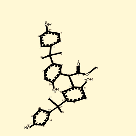 COC(=O)C(c1cc(C(C)(C)c2ccc(O)cc2)ccc1O)c1cc(C(C)(C)c2ccc(O)cc2)ccc1O